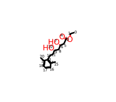 CCOC(=O)CC(O)CC(O)CCc1c(C)cccc1C